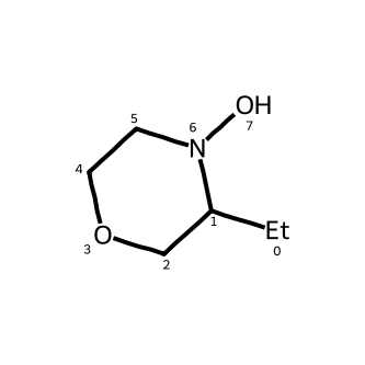 CCC1COCCN1O